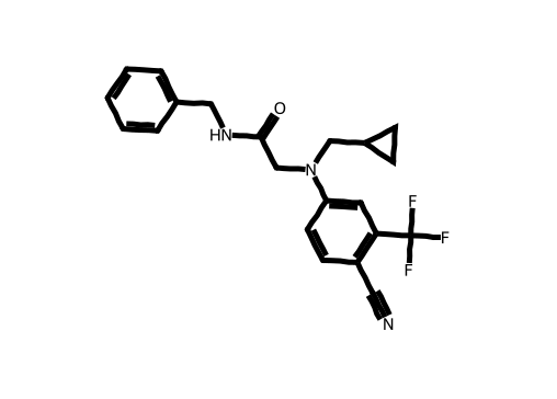 N#Cc1ccc(N(CC(=O)NCc2ccccc2)CC2CC2)cc1C(F)(F)F